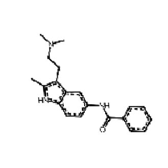 Cc1[nH]c2ccc(NC(=O)c3ccccc3)cc2c1CCN(C)C